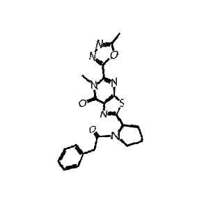 Cc1nnc(-c2nc3sc(C4CCCN4C(=O)Cc4ccccc4)nc3c(=O)n2C)o1